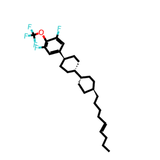 CCC/C=C/CCCC[C@H]1CC[C@H]([C@H]2CC[C@H](c3cc(F)c(OC(F)(F)F)c(F)c3)CC2)CC1